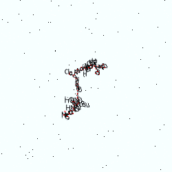 Cc1ncsc1-c1ccc([C@H](C)NC(=O)[C@@H]2C[C@@H](O)CN2C(=O)[C@@H](NC(=O)CCCCCC(=O)N2CCN(CCN(C)CC3(C)CCC(c4ccc(Cl)cc4)=C(CN4CCN(c5ccc(C(=O)NS(=O)(=O)c6ccc(N[C@H](CCN7CCOCC7)CSc7ccccc7)c(S(=O)(=O)C(F)(F)F)c6)cc5)CC4)C3)CC2)C(C)(C)C)cc1